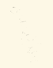 CC(C)(C)[C@@H](C(=O)N1C[C@H](O)C[C@H]1C(=O)NCCC(=O)NCc1cccnc1)n1cc(C2CC2)nn1